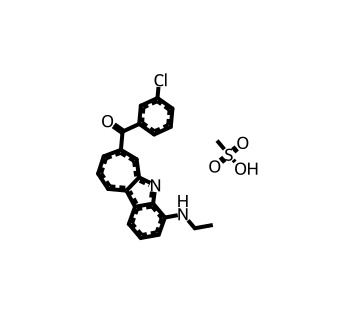 CCNc1cccc2c3cccc(C(=O)c4cccc(Cl)c4)cc-3nc12.CS(=O)(=O)O